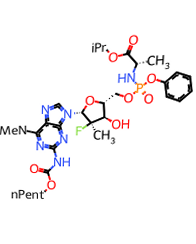 CCCCCOC(=O)Nc1nc(NC)c2ncn([C@@H]3O[C@H](COP(=O)(N[C@@H](C)C(=O)OC(C)C)Oc4ccccc4)[C@@H](O)[C@@]3(C)F)c2n1